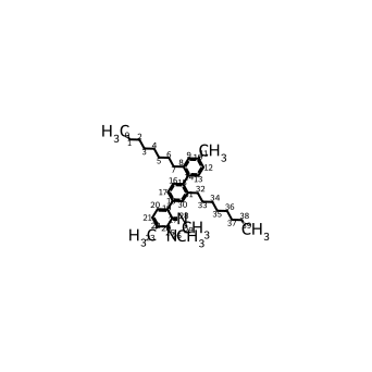 CCCCCCCCc1cc(C)ccc1-c1ccc(C2=CC=C(C)C(=N/C)/C2=N\C)cc1CCCCCCCC